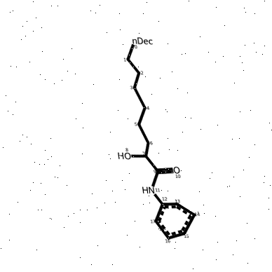 CCCCCCCCCCCCCCCCC(O)C(=O)Nc1ccccc1